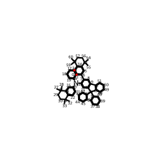 Cc1cc2c(cc1-c1cc3c(cc1N(c1ccccc1)c1ccc4c(c1)C(C)(C)CCC4(C)C)C(c1ccccc1)(c1ccccc1)c1ccccc1-3)C(C)(C)CCC2(C)C